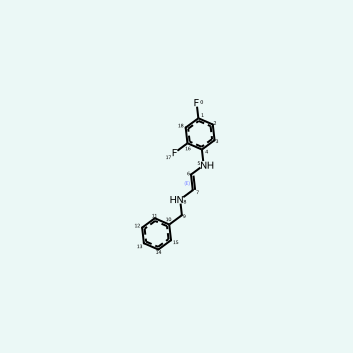 Fc1ccc(N/C=C/NCc2ccccc2)c(F)c1